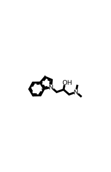 CN(C)CC(O)Cn1c[c]c2ccccc21